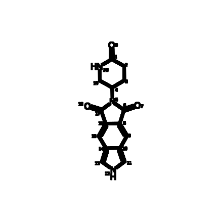 O=C1CCC(N2C(=O)c3cc4c[nH]cc4cc3C2=O)CN1